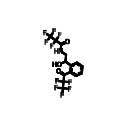 O=C(NCC(O)c1ccccc1C(=O)C(F)(F)C(F)(F)F)C(F)(F)C(F)(F)F